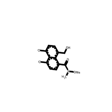 CON(C)C(=O)c1ccc(Cl)c2c(Cl)ccc(CO)c12